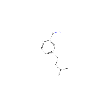 CC(C)CCc1cccc(CN)c1